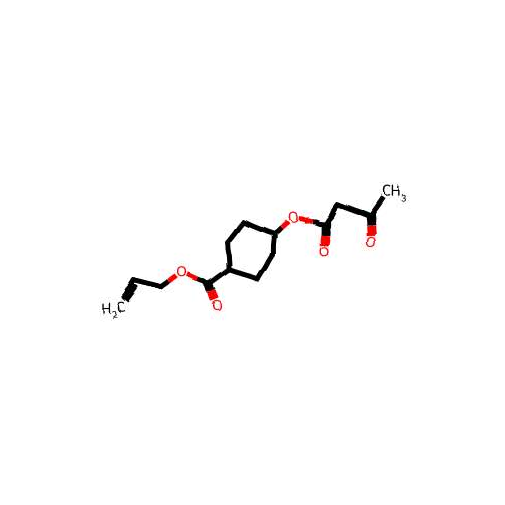 C=CCOC(=O)C1CCC(OC(=O)CC(C)=O)CC1